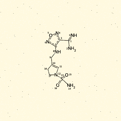 N=C(N)c1nonc1NCC1=CN(S(N)(=O)=O)CC1